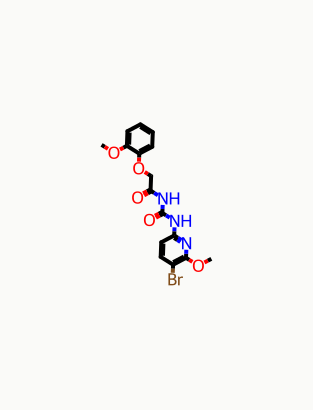 COc1ccccc1OCC(=O)NC(=O)Nc1ccc(Br)c(OC)n1